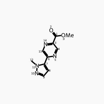 COC(=O)c1cnc(-c2ccnn2C)cn1